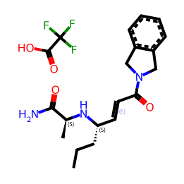 CCC[C@@H](/C=C/C(=O)N1Cc2ccccc2C1)N[C@@H](C)C(N)=O.O=C(O)C(F)(F)F